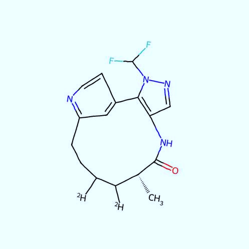 [2H]C1CCc2cc(ccn2)-c2c(cnn2C(F)F)NC(=O)[C@H](C)C1[2H]